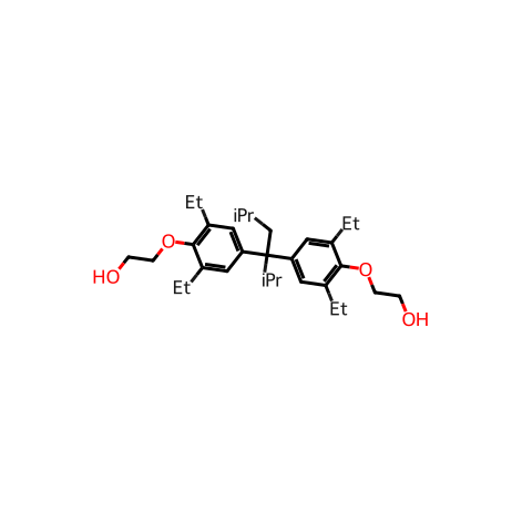 CCc1cc(C(CC(C)C)(c2cc(CC)c(OCCO)c(CC)c2)C(C)C)cc(CC)c1OCCO